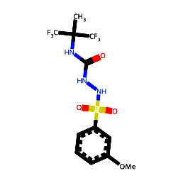 COc1cccc(S(=O)(=O)NNC(=O)NC(C)(C(F)(F)F)C(F)(F)F)c1